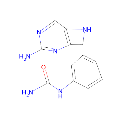 NC(=O)Nc1ccccc1.Nc1ncc2c(n1)CN2